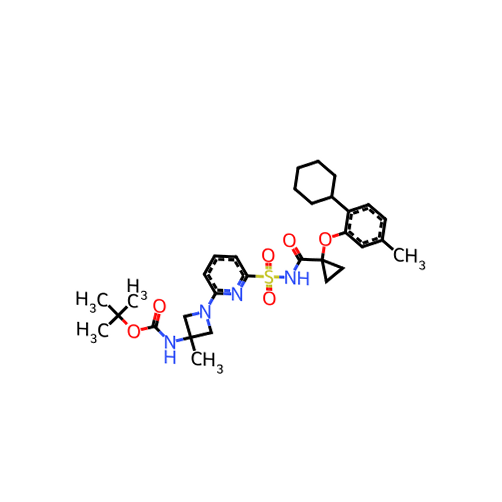 Cc1ccc(C2CCCCC2)c(OC2(C(=O)NS(=O)(=O)c3cccc(N4CC(C)(NC(=O)OC(C)(C)C)C4)n3)CC2)c1